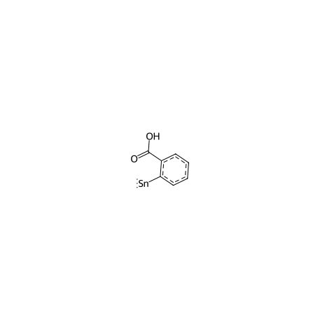 O=C(O)c1cccc[c]1[Sn]